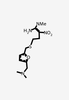 CNC(N)=C(CCSCc1ccc(CN(C)C)o1)[N+](=O)[O-]